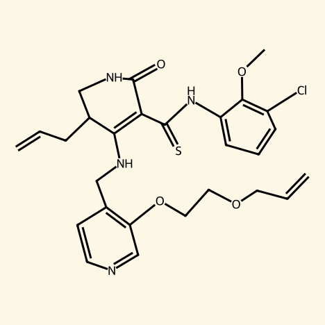 C=CCOCCOc1cnccc1CNC1=C(C(=S)Nc2cccc(Cl)c2OC)C(=O)NCC1CC=C